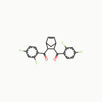 O=C(c1ccc(F)cc1F)C1C2C=CC(C2)C1C(=O)c1ccc(F)cc1F